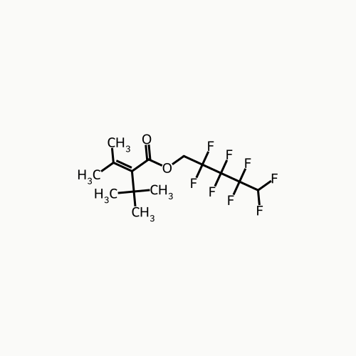 CC(C)=C(C(=O)OCC(F)(F)C(F)(F)C(F)(F)C(F)F)C(C)(C)C